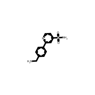 NCc1ccc(-c2cc(S(N)(=O)=O)ccn2)cc1